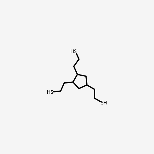 SCCC1CC(CCS)C(CCS)C1